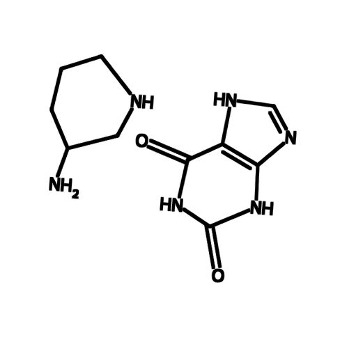 NC1CCCNC1.O=c1[nH]c(=O)c2[nH]cnc2[nH]1